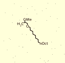 [CH2]C(COCCCCCCCCCCCCCCCC)OC